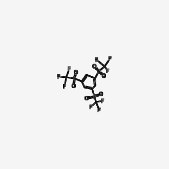 O=S(=O)(c1cc(S(=O)(=O)C(F)(F)F)cc(S(=O)(=O)C(F)(F)F)c1)C(F)(F)F